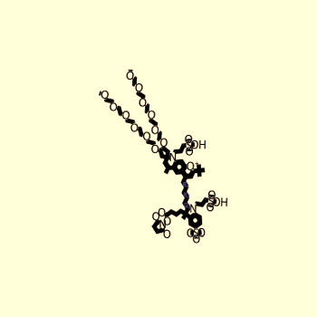 COCCOCCOCCOCCOCCOCCC1(CCOCCOCCOCCOCCOCCOC)C=C(C)c2cc3c(/C=C/C=C/C=C4\N(CCCS(=O)(=O)O)c5ccc(S(=O)(=O)[O-])cc5C4(C)CCCC(=O)ON4C(=O)CCC4=O)cc(C(C)(C)C)[o+]c3cc2N1CCCS(=O)(=O)O